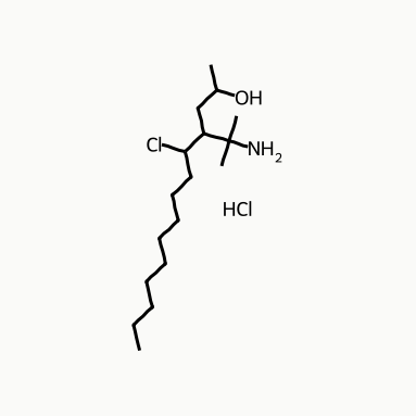 CCCCCCCCCC(Cl)C(CC(C)O)C(C)(C)N.Cl